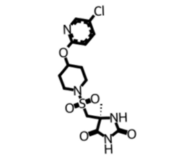 C[C@]1(CS(=O)(=O)N2CCC(Oc3ccc(Cl)cn3)CC2)NC(=O)NC1=O